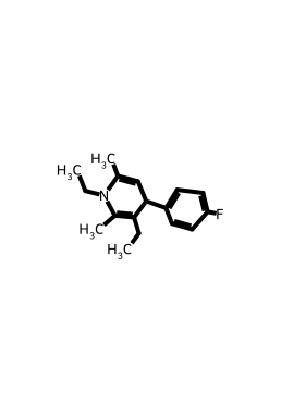 CCC1=C(C)N(CC)C(C)=CC1c1ccc(F)cc1